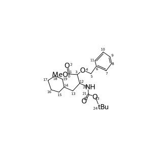 COC(=O)C(OCc1ccccc1)C(CC1CCCCC1)NC(=O)OC(C)(C)C